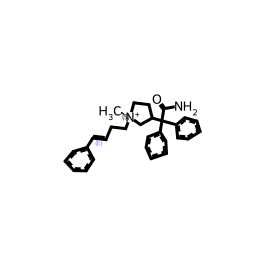 C[N@+]1(CC/C=C/c2ccccc2)CCC(C(C(N)=O)(c2ccccc2)c2ccccc2)C1